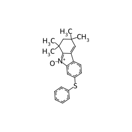 CC1(C)C=C2C(=[N+]([O-])c3cc(Sc4ccccc4)ccc32)C(C)(C)C1